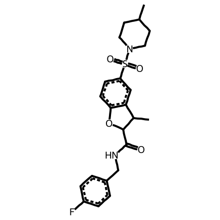 CC1CCN(S(=O)(=O)c2ccc3c(c2)C(C)C(C(=O)NCc2ccc(F)cc2)O3)CC1